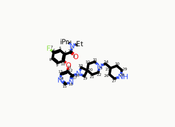 CCN(C(=O)c1cc(F)ccc1Oc1cncnc1N1CC2(CCN(CC3CCNCC3)CC2)C1)C(C)C